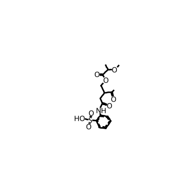 COC(C)C(=O)OCC(CC(=O)Nc1ccccc1S(=O)(=O)O)C(C)=O